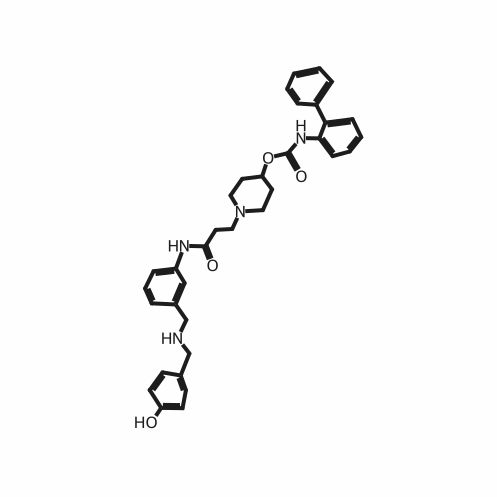 O=C(CCN1CCC(OC(=O)Nc2ccccc2-c2ccccc2)CC1)Nc1cccc(CNCc2ccc(O)cc2)c1